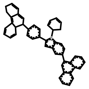 C1=CCC(n2c(-c3ccc(C4C=C5C=CCCC5=C5C=CC=CC54)cc3)cc3cc(-c4cc5ccccc5c5ccccc45)ccc32)C=C1